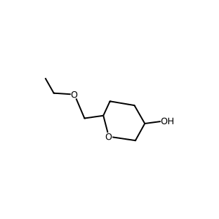 CCOCC1CCC(O)CO1